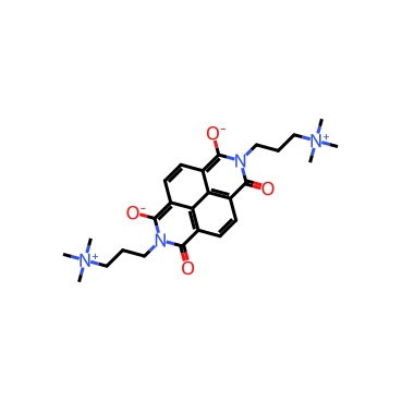 C[N+](C)(C)CCCn1c([O-])c2ccc3c([O-])n(CCC[N+](C)(C)C)c(=O)c4ccc(c1=O)c2c34